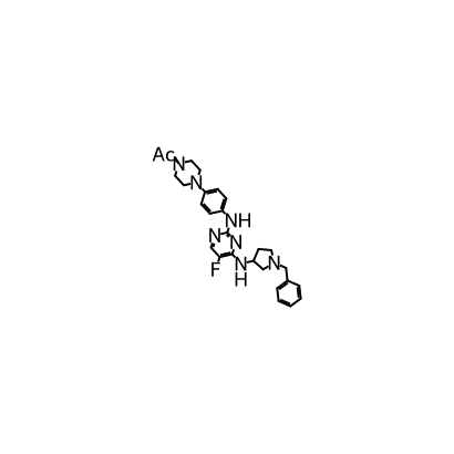 CC(=O)N1CCN(c2ccc(Nc3ncc(F)c(NC4CCN(Cc5ccccc5)C4)n3)cc2)CC1